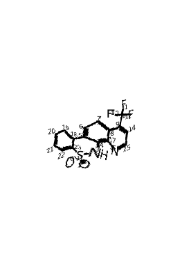 O=S1(=O)Nc2c(ccc3c(C(F)(F)F)ccnc23)-c2ccccc21